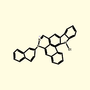 CCn1c2ccccc2c2cc(/C=N\N(c3ccc4ccccc4c3)c3ccc4ccccc4c3)ccc21